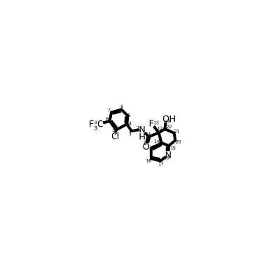 O=C(NCc1cccc(C(F)(F)F)c1Cl)C1(F)c2cccnc2CCC1O